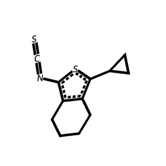 S=C=Nc1sc(C2CC2)c2c1CCCC2